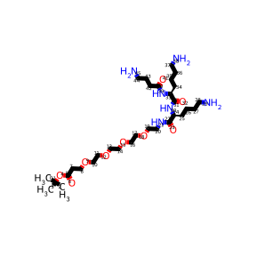 CC(C)(C)OC(=O)CCOCCOCCOCCOCCNC(=O)[C@H](CCCCN)NC(=O)[C@H](CCCCN)NC(=O)CCCN